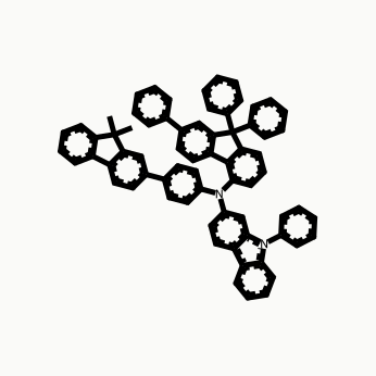 CC1(C)c2ccccc2-c2ccc(-c3ccc(N(c4ccc5c6ccccc6n(-c6ccccc6)c5c4)c4cccc5c4-c4ccc(-c6ccccc6)cc4C5(c4ccccc4)c4ccccc4)cc3)cc21